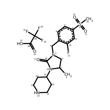 CC1CN(Cc2ccc(S(C)(=O)=O)cc2F)C(=O)N1C1CCNCC1.O=C(O)C(F)(F)F